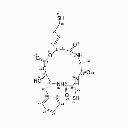 C[C@H]1NC(=O)C[C@@H](/C=C/CCS)OC(=O)C[C@H](O)[C@@H](Cc2ccccc2)NC(=O)[C@@H](CS)NC1=O